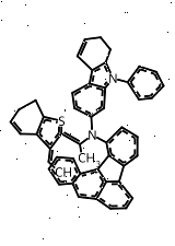 C/C=c1/c2c(s/c1=C(/C)N(c1ccc3c4c(n(-c5ccccc5)c3c1)CCC=C4)c1cccc3c1-c1c4ccccc4cc4cccc-3c14)CCC=C2